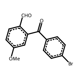 COc1ccc(C=O)c(C(=O)c2ccc(Br)cc2)c1